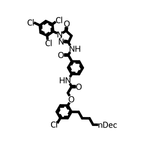 CCCCCCCCCCCCCCc1cc(Cl)ccc1OCC(=O)Nc1cccc(C(=O)NC2=NN(c3c(Cl)cc(Cl)cc3Cl)C(=O)C2)c1